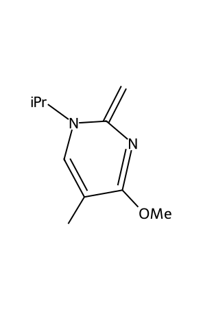 C=C1N=C(OC)C(C)=CN1C(C)C